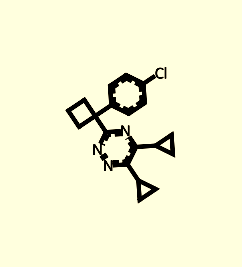 Clc1ccc(C2(c3nnc(C4CC4)c(C4CC4)n3)CCC2)cc1